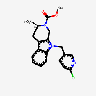 CC(C)(C)OC(=O)N1Cc2c(c3ccccc3n2Cc2ccc(Cl)nc2)C[C@H]1C(=O)O